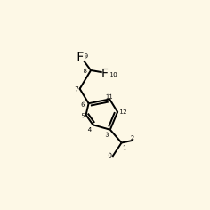 CC(C)c1ccc(CC(F)F)cc1